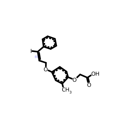 Cc1cc(OC/C=C(/I)c2ccccc2)ccc1OCC(=O)O